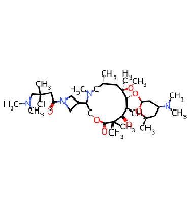 CO[C@]1(C)C[C@@H](C)CN(C)C(C2CN(C(=O)CC(C)(C)CN(C)C)C2)COC(=O)C(C)(C)C(=O)[C@H](C)[C@H]1O[C@H]1C[C@@H](N(C)C)C[C@@H](C)O1